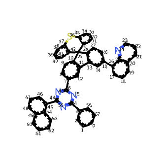 c1ccc(-c2nc(-c3ccc4c(c3)-c3cc(-c5cccc6cccnc56)ccc3C43c4ccccc4Sc4ccccc43)nc(-c3cccc4ccccc34)n2)cc1